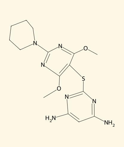 COc1nc(N2CCCCC2)nc(OC)c1Sc1nc(N)cc(N)n1